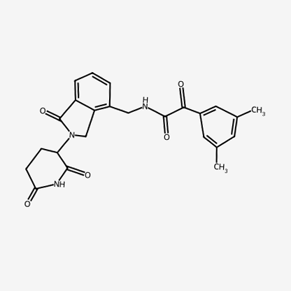 Cc1cc(C)cc(C(=O)C(=O)NCc2cccc3c2CN(C2CCC(=O)NC2=O)C3=O)c1